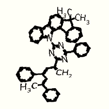 C=C(/C=C(\C=C(/C)c1ccccc1)c1ccccc1)c1nc(-c2ccccc2)nc(-n2c3ccccc3c3ccc4c(c32)-c2ccccc2C4(C)C)n1